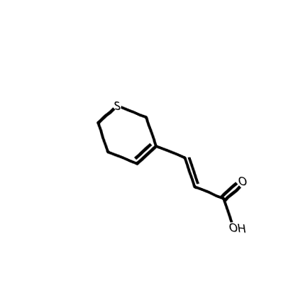 O=C(O)/C=C/C1=CCCSC1